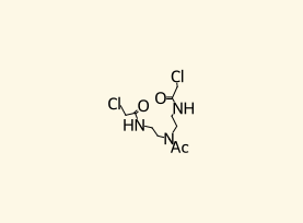 CC(=O)N(CCNC(=O)CCl)CCNC(=O)CCl